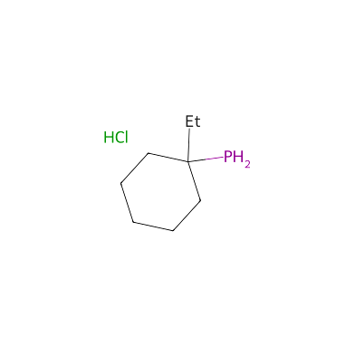 CCC1(P)CCCCC1.Cl